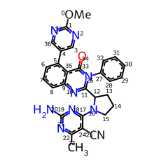 COc1ncc(-c2cccc3nc(C4CCCN4c4nc(N)nc(C)c4C#N)n(-c4ccccc4)c(=O)c23)cn1